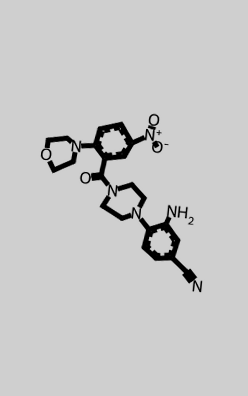 N#Cc1ccc(N2CCN(C(=O)c3cc([N+](=O)[O-])ccc3N3CCOCC3)CC2)c(N)c1